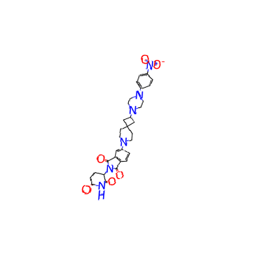 O=C1CCC(N2C(=O)c3ccc(N4CCC5(CC4)CC(N4CCN(c6ccc([N+](=O)[O-])cc6)CC4)C5)cc3C2=O)C(=O)N1